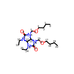 CCCCOCN1C(=O)N(CC)C2C1N(COCCCC)C(=O)N2CC